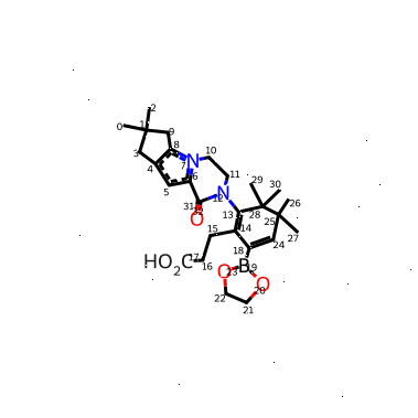 CC1(C)Cc2cc3n(c2C1)CCN(C1=C(CCC(=O)O)C(B2OCCO2)=CC(C)(C)C1(C)C)C3=O